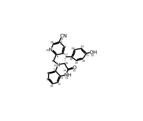 N#Cc1ccc(CN2c3ccccc3NC(=O)[C@H]2Cc2ccc(O)cc2)nc1